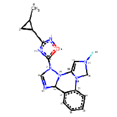 CC1CC1c1noc(N2C=NC3c4ccccc4N4CN(F)C=C4N32)n1